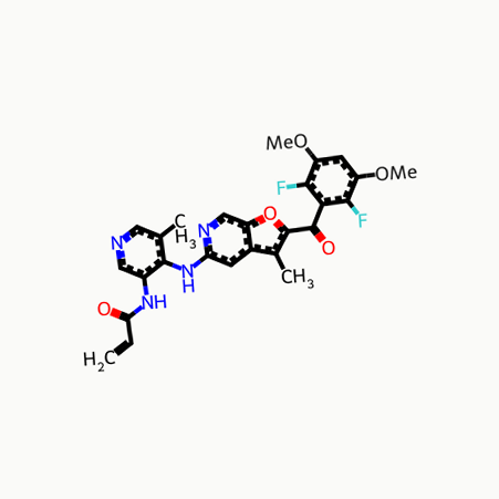 C=CC(=O)Nc1cncc(C)c1Nc1cc2c(C)c(C(=O)c3c(F)c(OC)cc(OC)c3F)oc2cn1